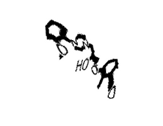 COc1ccccc1N1CCN(CC(O)COC2=C(C)C(=C=O)CC=C2)CC1